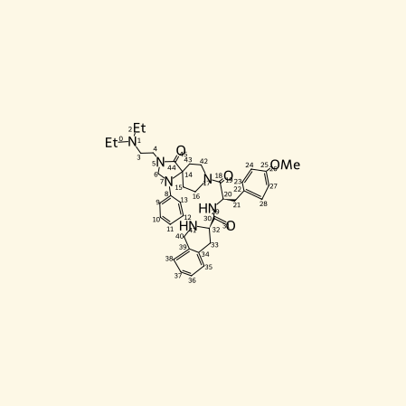 CCN(CC)CCN1CN(c2ccccc2)C2(CCN(C(=O)[C@@H](Cc3ccc(OC)cc3)NC(=O)[C@H]3Cc4ccccc4CN3)CC2)C1=O